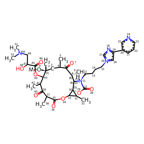 CO[C@@]1(C)CC(C)C(=O)[C@H](C)[C@H]2N(CCCCn3cnc(-c4cccnc4)c3)C(=O)O[C@@]23C(C)C3OC(=O)C(C)C(=O)C(C)C1OC(=O)C(O)CN(C)C